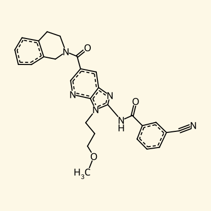 COCCCn1c(NC(=O)c2cccc(C#N)c2)nc2cc(C(=O)N3CCc4ccccc4C3)cnc21